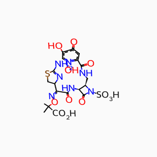 CC(C)(O/N=C(\C(=O)N[C@@H]1C(=O)N(S(=O)(=O)O)[C@@H]1CNC(=O)c1cc(=O)c(O)cn1O)C1CSC(N)=N1)C(=O)O